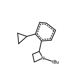 CC(C)(C)N1CCC1c1ccccc1C1CC1